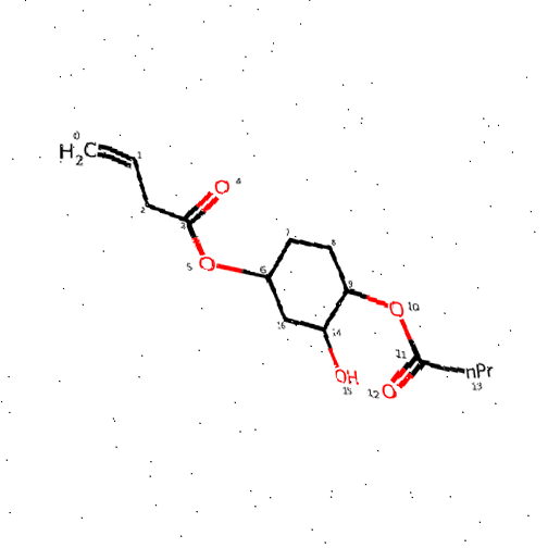 C=CCC(=O)OC1CCC(OC(=O)CCC)C(O)C1